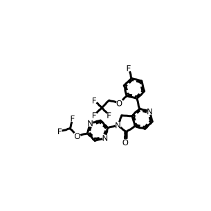 O=C1c2ccnc(-c3ccc(F)cc3OCC(F)(F)F)c2CN1c1cnc(OC(F)F)cn1